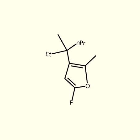 CCCC(C)(CC)c1cc(F)oc1C